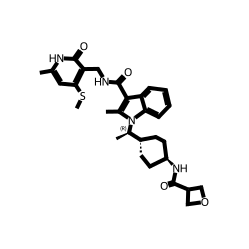 CSc1cc(C)[nH]c(=O)c1CNC(=O)c1c(C)n([C@H](C)[C@H]2CC[C@H](NC(=O)C3COC3)CC2)c2ccccc12